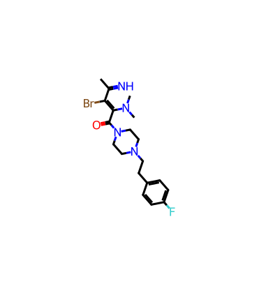 CC(=N)/C(Br)=C(/C(=O)N1CCN(CCc2ccc(F)cc2)CC1)N(C)C